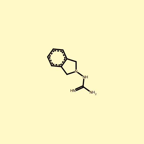 N=C(N)NN1Cc2ccccc2C1